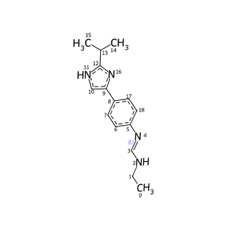 CCN/C=N/c1ccc(-c2c[nH]c(C(C)C)n2)cc1